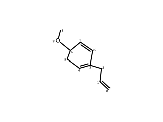 C=CCC1=CCC(OC)C=C1